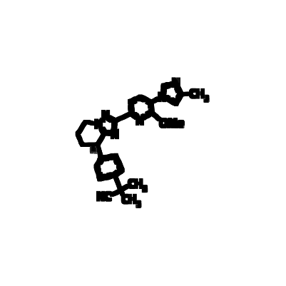 COc1nc(-c2nc3n(n2)CCC[C@@H]3c2ccc(C(C)(C)C#N)cc2)ccc1-n1cnc(C)c1